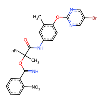 CCCC(C)(OC(=N)c1ccccc1[N+](=O)[O-])C(=O)Nc1ccc(Oc2ncc(Br)cn2)c(C)c1